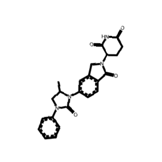 CC1CN(c2ccccc2)C(=O)N1c1ccc2c(c1)CN(C1CCC(=O)NC1=O)C2=O